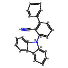 N#Cc1c(-c2ccccc2)cccc1-n1c2ccccc2c2ccccc21